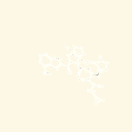 COc1cccc2[nH]c(C(=O)N3C[C@@H]4CCC[C@@H]4[C@H]3C(=O)N[C@@H](C[C@@H]3CCNC3=O)C(=O)C(=O)NC3CC3)cc12